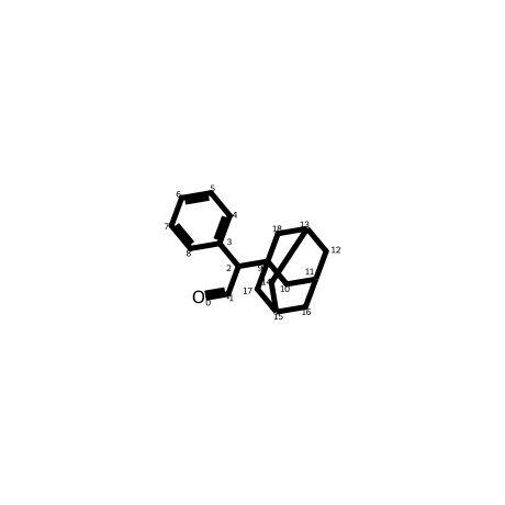 O=[C]C(c1ccccc1)C12CC3CC(CC(C3)C1)C2